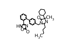 CCCCC1=NC(C)(C2CCCCC2)C(=O)N1Cc1ccc(-c2ccccc2-c2nc(=O)o[nH]2)cc1